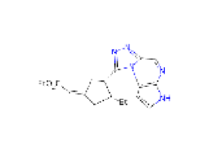 CCOC(=O)C=C1C[C@@H](CC)[C@@H](c2nnc3cnc4[nH]ccc4n23)C1